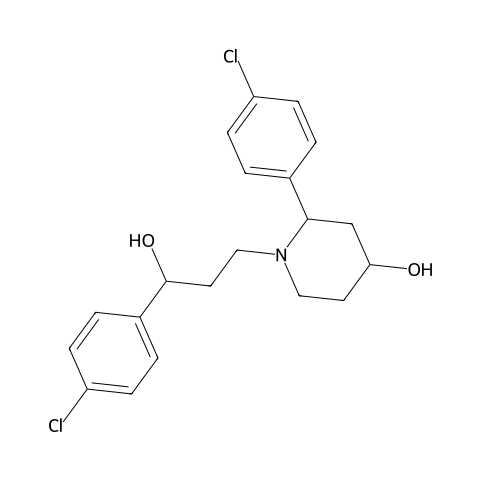 OC1CCN(CCC(O)c2ccc(Cl)cc2)C(c2ccc(Cl)cc2)C1